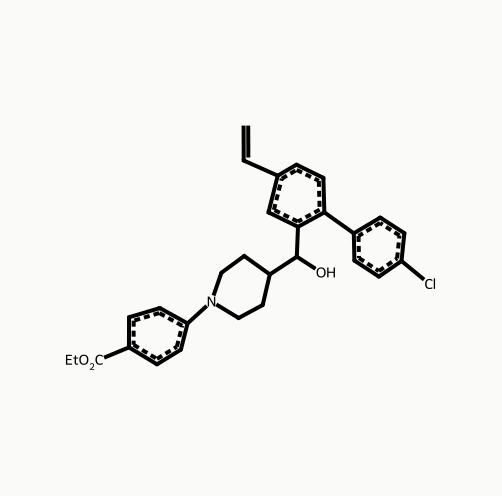 C=Cc1ccc(-c2ccc(Cl)cc2)c(C(O)C2CCN(c3ccc(C(=O)OCC)cc3)CC2)c1